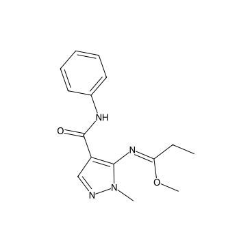 CCC(=Nc1c(C(=O)Nc2ccccc2)cnn1C)OC